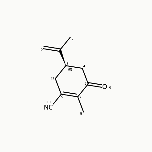 C=C(C)[C@H]1CC(=O)C(C)=C(C#N)C1